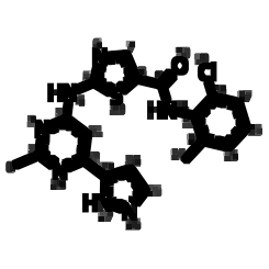 Cc1nc(Nc2ncc(C(=O)Nc3c(C)cccc3Cl)s2)cc(-c2ccn[nH]2)n1